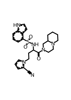 N#Cc1cccn1CCC(NS(=O)(=O)c1cccc2[nH]ccc12)C(=O)N1CCN2CCCCC2C1